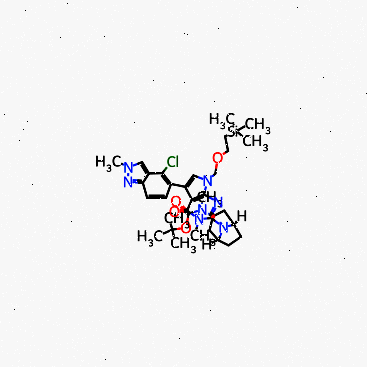 CN(C(=O)OC(C)(C)C)[C@H]1C[C@H]2CC[C@@H](C1)N2c1nc2c(c(-c3ccc4nn(C)cc4c3Cl)cn2COCC[Si](C)(C)C)c(=O)n1C